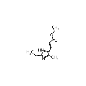 CCOC(=O)C=Cc1[nH]c(CC)nc1C